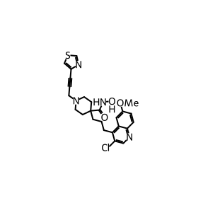 COc1ccc2ncc(Cl)c(CCCC3(C(=O)NO)CCN(CC#Cc4cscn4)CC3)c2c1